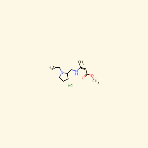 CCN1CCCC1CN/C(C)=C\C(=O)OC.Cl